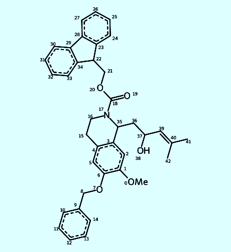 COc1cc2c(cc1OCc1ccccc1)CCN(C(=O)OCC1c3ccccc3-c3ccccc31)C2CC(O)C=C(C)C